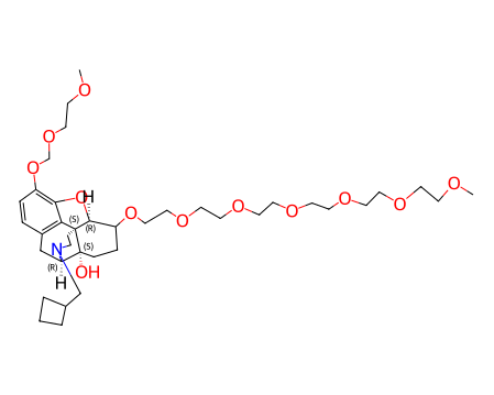 COCCOCCOCCOCCOCCOCCOC1CC[C@@]2(O)[C@H]3Cc4ccc(OCOCCOC)c5c4[C@@]2(CCN3CC2CCC2)[C@H]1O5